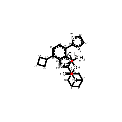 CC(C)(C)OC(=O)N1C2CC1CN(c1nc3c(C4CCC4)ccc(-c4nccs4)c3o1)C2